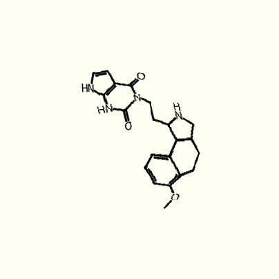 COc1cccc2c1CCC1CNC(CCn3c(=O)[nH]c4[nH]ccc4c3=O)C21